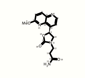 COc1ccc2nccc([C@H]3CN(CCC(N)=O)C(=O)O3)c2n1